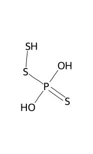 OP(O)(=S)SS